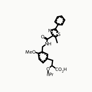 CCCOC(Cc1ccc(OC)c(CNC(=O)c2nc(-c3ccccc3)sc2C)c1)C(=O)O